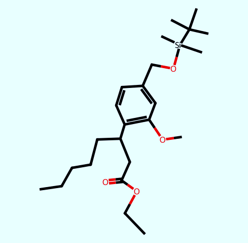 CCCCCC(CC(=O)OCC)c1ccc(CO[Si](C)(C)C(C)(C)C)cc1OC